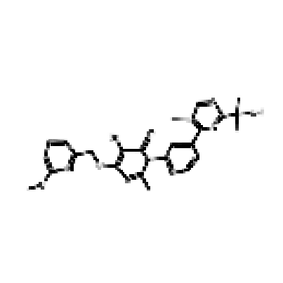 COc1cccc(COc2nc(C)n(-c3cccc(-c4nc(C(C)(C)O)ncc4C)c3)c(=O)c2Br)n1